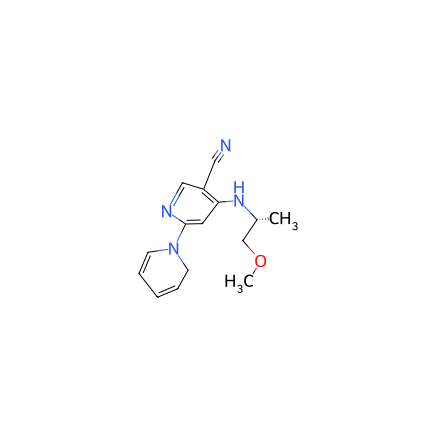 COC[C@@H](C)Nc1cc(N2C=CC=CC2)ncc1C#N